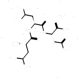 CC(C)C[C@H](NC(=O)[C@@H](N)CC(C)C)C(=O)N[C@@H](CC(=O)O)C(=O)O